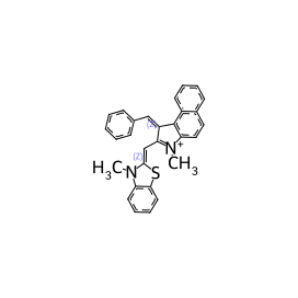 CN1/C(=C/C2=[N+](C)c3ccc4ccccc4c3/C2=C/c2ccccc2)Sc2ccccc21